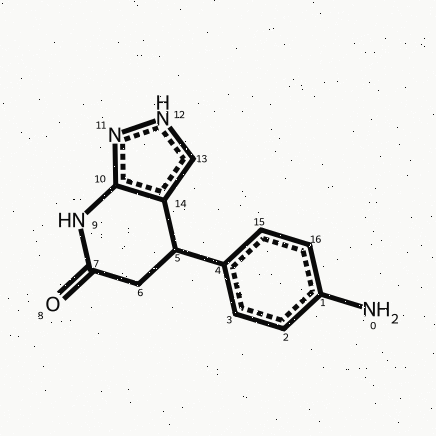 Nc1ccc(C2CC(=O)Nc3n[nH]cc32)cc1